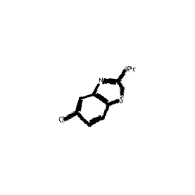 CC(C)c1nc2cc(Cl)ccc2s1